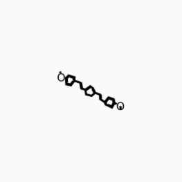 COc1ccc(/C=C/C2=CC=C(/C=C/c3ccc(OC)cc3)CC2)cc1